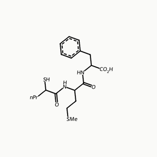 CCCC(S)C(=O)NC(CCSC)C(=O)NC(Cc1ccccc1)C(=O)O